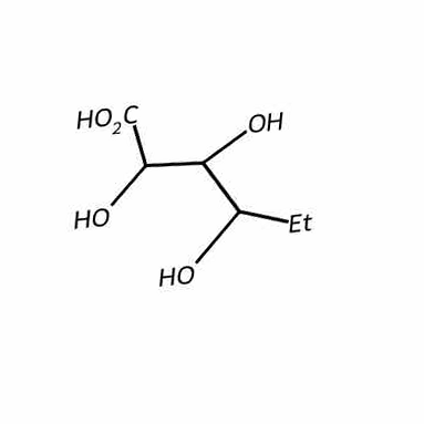 CCC(O)C(O)C(O)C(=O)O